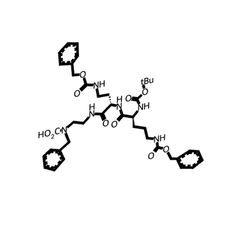 CC(C)(C)OC(=O)N[C@@H](CCCNC(=O)OCc1ccccc1)C(=O)N[C@@H](CCNC(=O)OCc1ccccc1)C(=O)NCCN(Cc1ccccc1)C(=O)O